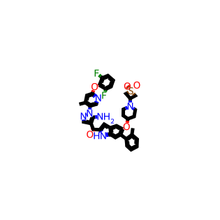 Cc1ccccc1-c1cc2[nH]c(C(=O)c3cnn(-c4cnc(Oc5c(F)cccc5F)cc4C)c3N)cc2cc1OC1CCN(C2CS(=O)(=O)C2)CC1